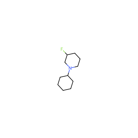 FC1CCCN(C2CCCCC2)C1